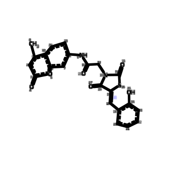 Cc1cc(=O)oc2cc(NC(=O)CN3C(=O)S/C(=C\c4ccccc4O)C3=O)ccc12